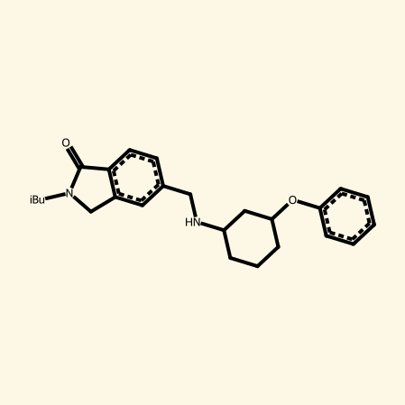 CCC(C)N1Cc2cc(CNC3CCCC(Oc4ccccc4)C3)ccc2C1=O